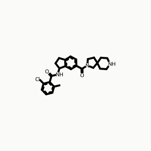 Cc1cccc(Cl)c1C(=O)NC1CCc2ccc(C(=O)N3CCC4(CCNCC4)C3)cc21